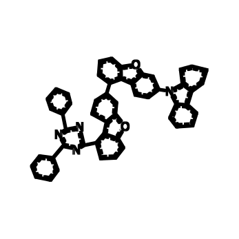 c1ccc(-c2nc(-c3ccccc3)nc(-c3cccc4oc5cc(-c6cccc7oc8cc(-n9c%10ccccc%10c%10ccccc%109)ccc8c67)ccc5c34)n2)cc1